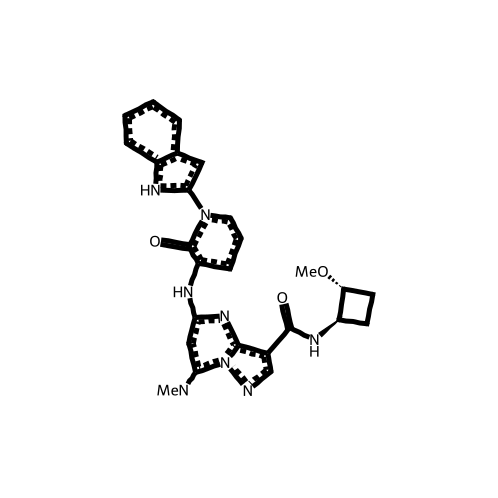 CNc1cc(Nc2cccn(-c3cc4ccccc4[nH]3)c2=O)nc2c(C(=O)N[C@@H]3CC[C@H]3OC)cnn12